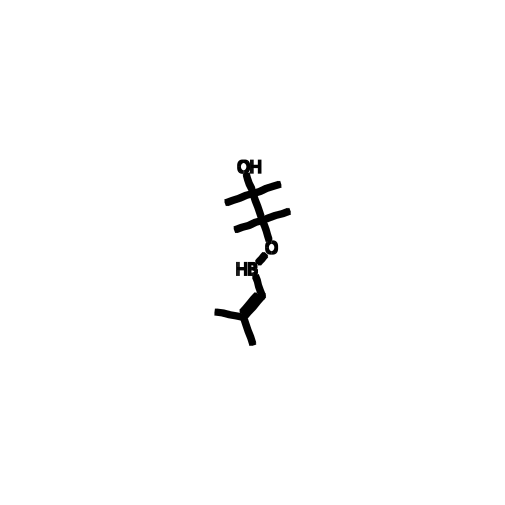 CC(C)=CBOC(C)(C)C(C)(C)O